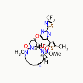 COC(=O)[C@@]12C[C@@H]1/C=C\CCCCN(C)C(=O)N1CC[C@H](Oc3cc(-c4cc(C)sc4C)nc(-c4nc(C(F)(F)F)cs4)n3)C[C@H]1C(=O)N2